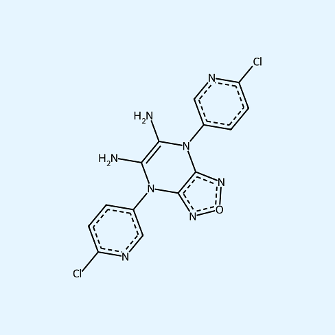 NC1=C(N)N(c2ccc(Cl)nc2)c2nonc2N1c1ccc(Cl)nc1